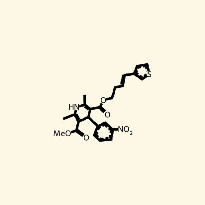 COC(=O)C1=C(C)NC(C)=C(C(=O)OCCC=Cc2ccsc2)C1c1cccc([N+](=O)[O-])c1